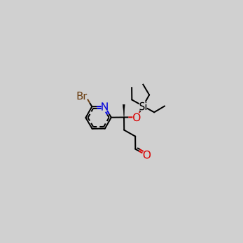 CC[Si](CC)(CC)O[C@](C)(CCC=O)c1cccc(Br)n1